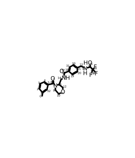 Cc1cccc(C(=O)N2CCOCC2CNC(=O)c2ccc(CNC(O)C(F)(F)F)cc2)c1